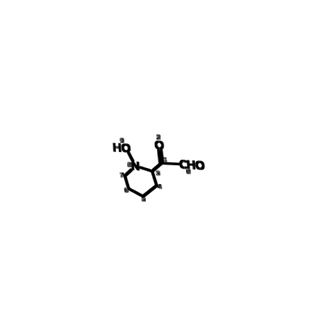 O=CC(=O)C1CCCCN1O